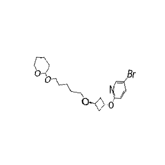 Brc1ccc(O[C@H]2C[C@H](OCCCCCOC3CCCCO3)C2)nc1